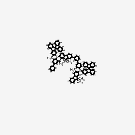 Cc1cc(-c2cccc(-c3ccc4c(c3)C(C)(C)c3cc(N(c5ccc6c(c5)C(c5ccccc5)(c5ccccc5)c5ccccc5-6)c5c(C)cc(-c6ccccc6)cc5C)ccc3-4)c2)ccc1N(c1ccc2c(c1)C(C)(C)c1ccccc1-2)c1ccc2c(c1)C(c1ccccc1)(c1ccccc1)c1ccccc1-2